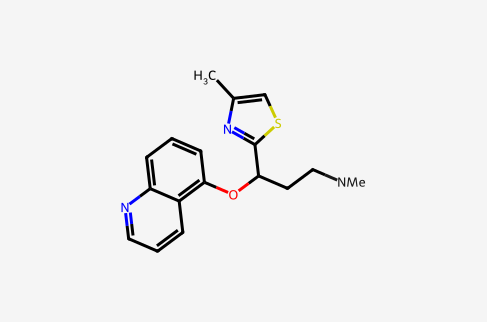 CNCCC(Oc1cccc2ncccc12)c1nc(C)cs1